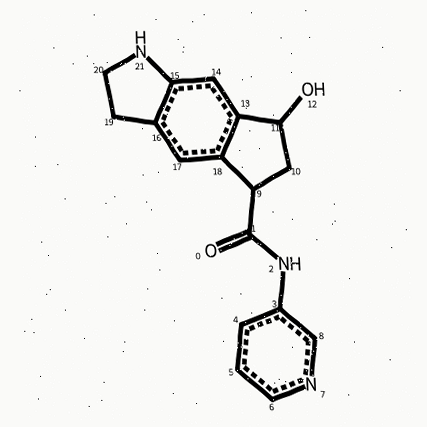 O=C(Nc1cccnc1)C1CC(O)c2cc3c(cc21)CCN3